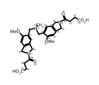 COc1cc2c(cc1CN(C)Cc1cc3c(cc1OC)CN(C(=O)CCC(=O)O)C3)CN(C(=O)CCC(=O)O)C2